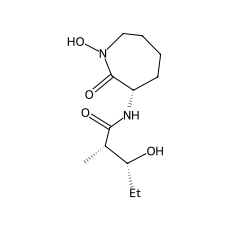 CC[C@@H](O)[C@H](C)C(=O)N[C@H]1CCCCN(O)C1=O